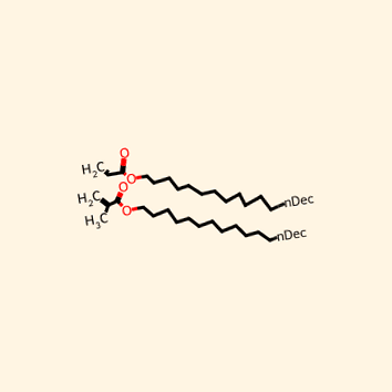 C=C(C)C(=O)OCCCCCCCCCCCCCCCCCCCCCC.C=CC(=O)OCCCCCCCCCCCCCCCCCCCCCC